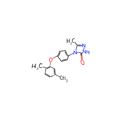 Cc1ccc(C)c(Oc2ccc(-n3c(C)n[nH]c3=O)cc2)c1